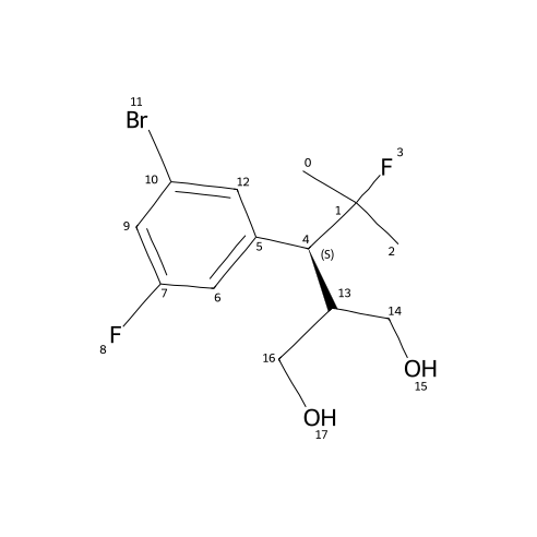 CC(C)(F)[C@H](c1cc(F)cc(Br)c1)C(CO)CO